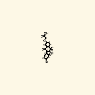 CC1(C)c2ccc(OCC(=O)O)cc2C(=O)c2c1[nH]c1c2CCC(Br)=C1